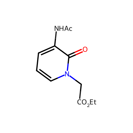 CCOC(=O)Cn1cccc(NC(C)=O)c1=O